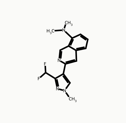 CN(C)c1cccc2cc(-c3cn(C)nc3C(F)F)ncc12